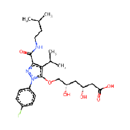 CC(C)CCNC(=O)c1nn(-c2ccc(F)cc2)c(OC[C@@H](O)C[C@@H](O)CC(=O)O)c1C(C)C